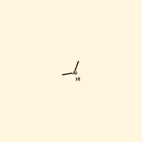 I.[CH3][Al][CH3]